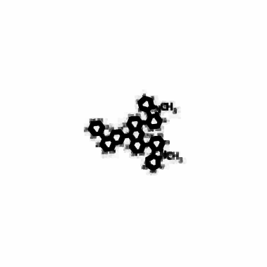 Cn1c2ccccc2c2c(-c3cccc4c(-c5ccc6c(-c7ccccc7)cccc6c5)c5cccc(-c6cccc7c6c6ccccc6n7C)c5cc34)cccc21